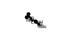 CC(C)(C)OC(=O)COc1ccc(C[C@H](NC(=O)OCC2c3ccccc3-c3ccccc32)C(=O)O)cc1